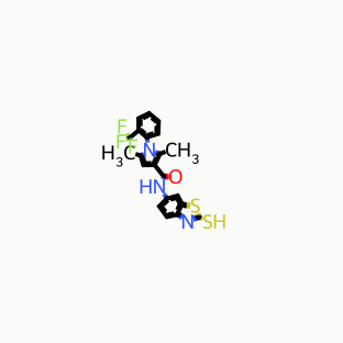 Cc1cc(C(=O)Nc2ccc3nc(S)sc3c2)c(C)n1-c1ccccc1C(F)(F)F